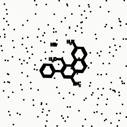 Br.CCc1c(-c2ccccc2)cc(N)c2ccc3ccc(N)cc3c12